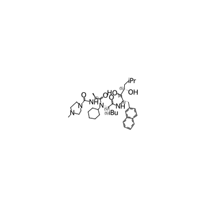 CC[C@H](C)[C@@H](C(=O)N[C@@H](Cc1ccc2ccccc2c1)[C@@H](O)[C@@H](O)CC(C)C)N(C(=O)[C@H](C)NC(=O)N1CCN(C)CC1)C1CCCCC1